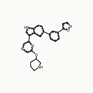 c1cc(-c2ccc3[nH]cc(-c4cncc(OC5CCCNC5)n4)c3c2)cc(-c2ccno2)c1